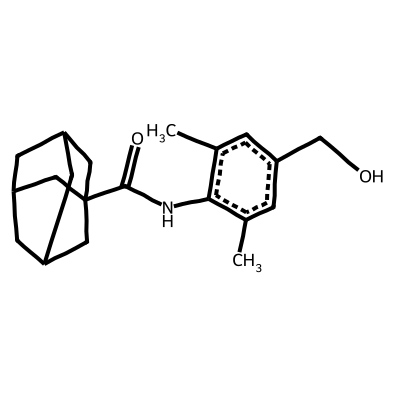 Cc1cc(CO)cc(C)c1NC(=O)C12CC3CC(CC(C3)C1)C2